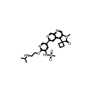 CC(C)NCCOc1ncc(-c2cc3c4c(cnc3cn2)N(C)C(=O)C42CCC2)cc1NS(C)(=O)=O